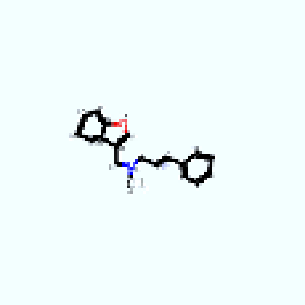 CN(C/C=C/c1ccccc1)Cc1coc2ccccc12